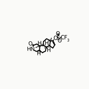 C[C@]12CC(=O)NC[C@@H]1CC[C@@H]1[C@@H]2CC[C@]2(C)C(OS(=O)(=O)C(F)(F)F)=CC[C@@H]12